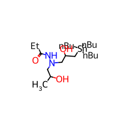 CCC[CH2][Sn]([CH2]CCC)([CH2]CCC)[CH2]C(O)CN(CC(C)O)NC(=O)CC